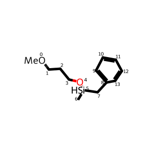 COCCCO[SiH](C)Cc1ccccc1